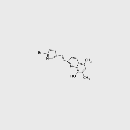 Cc1cc(C)c2ccc(C=Cc3ccc(Br)nc3)nc2c1O